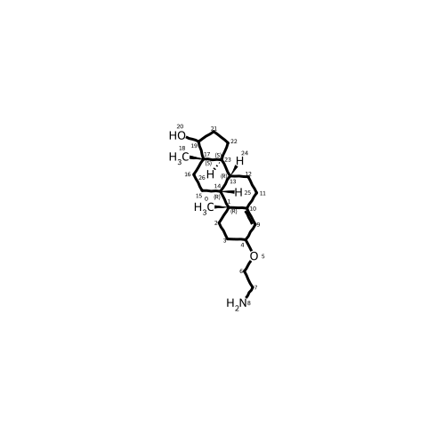 C[C@]12CCC(OCCN)C=C1CC[C@@H]1[C@H]2CC[C@]2(C)C(O)CC[C@@H]12